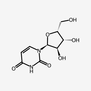 O=c1ccn([C@H]2O[C@H](CO)[C@H](O)[C@H]2O)c(=O)[nH]1